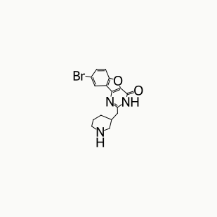 O=c1[nH]c(CC2CCCNC2)nc2c1oc1ccc(Br)cc12